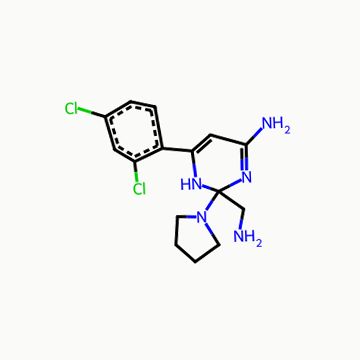 NCC1(N2CCCC2)N=C(N)C=C(c2ccc(Cl)cc2Cl)N1